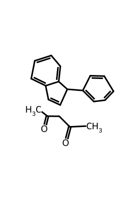 C1=CC(c2ccccc2)c2ccccc21.CC(=O)CC(C)=O